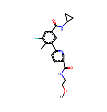 CCOCCNC(=O)c1ccc(-c2cc(C(=O)NC3CC3)cc(F)c2C)nc1